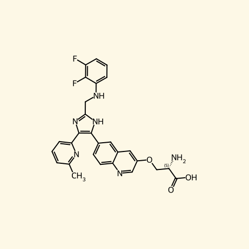 Cc1cccc(-c2nc(CNc3cccc(F)c3F)[nH]c2-c2ccc3ncc(OC[C@H](N)C(=O)O)cc3c2)n1